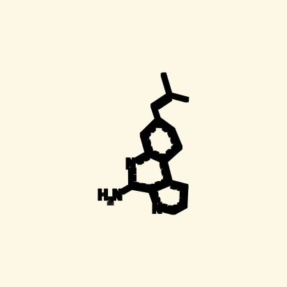 CC(C)=Cc1ccc2c(c1)nc(N)c1ncccc12